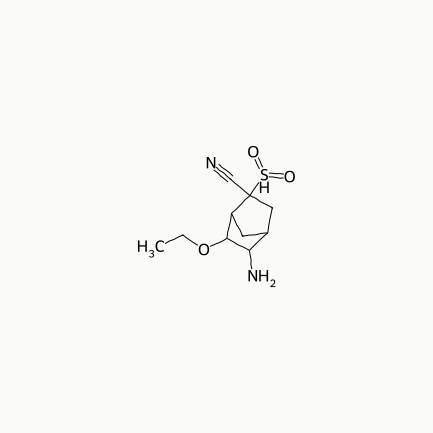 CCOC1C(N)C2CC1C(C#N)([SH](=O)=O)C2